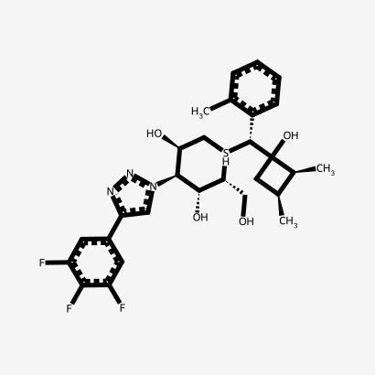 Cc1ccccc1[C@@H]([SH]1C[C@H](O)[C@H](n2cc(-c3cc(F)c(F)c(F)c3)nn2)[C@@H](O)[C@H]1CO)C1(O)C[C@H](C)[C@@H]1C